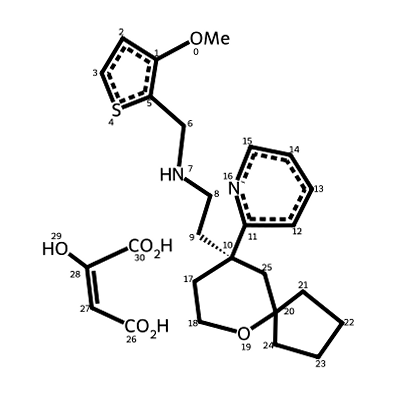 COc1ccsc1CNCC[C@@]1(c2ccccn2)CCOC2(CCCC2)C1.O=C(O)/C=C(/O)C(=O)O